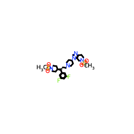 CS(=O)(=O)N1CCC([C@@H](CCN2CCC(n3cnc4c3CN(S(C)(=O)=O)CC4)CC2)c2cc(F)cc(F)c2)CC1